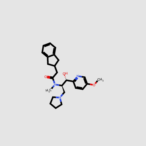 COc1ccc([C@@H](O)[C@@H](CN2CCCC2)N(C)C(=O)CC2Cc3ccccc3C2)nc1